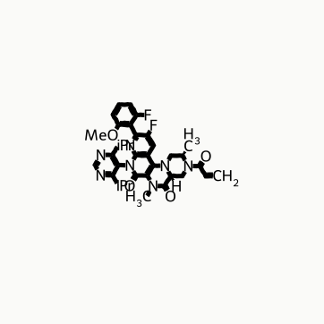 C=CC(=O)N1C[C@@H]2C(=O)N(C)c3c(c4cc(F)c(-c5c(F)cccc5OC)nc4n(-c4c(C(C)C)ncnc4C(C)C)c3=O)N2C[C@H]1C